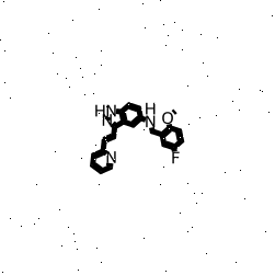 COc1ccc(F)cc1CNc1ccc2[nH]nc(C=Cc3ccccn3)c2c1